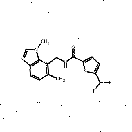 Cc1ccc2ncn(C)c2c1CNC(=O)c1ccc(C(F)F)s1